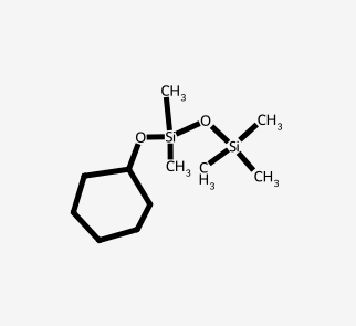 C[Si](C)(C)O[Si](C)(C)OC1CCCCC1